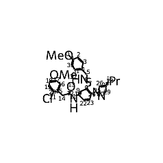 COc1ccc(CNSc2cc(NC(=O)Cc3ccccc3Cl)ccc2-n2cc(C(C)C)cn2)c(OC)c1